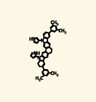 Cc1cc(C)cc(C2=Cc3c(n(-c4ccc[nH]4)c4cc5c(cc34)CCc3cc4c6cc(-c7cc(C)cc(C)c7)ccc6n(-c6cc[nH]c6)c4cc3-5)CC2)c1